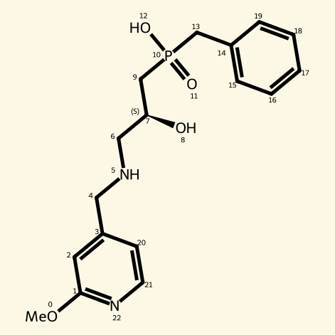 COc1cc(CNC[C@H](O)CP(=O)(O)Cc2ccccc2)ccn1